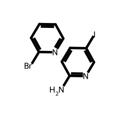 Brc1ccccn1.Nc1ccc(I)cn1